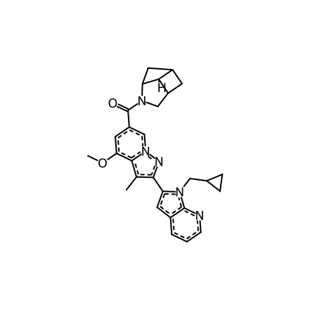 COc1cc(C(=O)N2CC3CC4CC2[C@H]43)cn2nc(-c3cc4cccnc4n3CC3CC3)c(C)c12